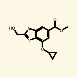 COC(=O)c1cc(OC2CC2)c2nc(CO)sc2c1